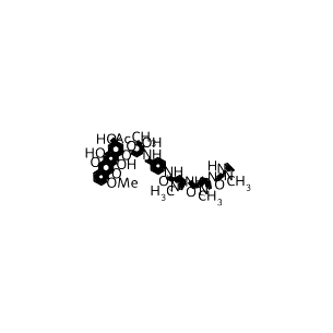 COc1cccc2c1C(=O)c1c(O)c3c(c(O)c1C2=O)C[C@](O)(C(C)=O)C[C@@H]3OC1CC(NCc2ccc(NC(=O)c3cc(NC(=O)c4cc(NC(=O)c5nccn5C)cn4C)cn3C)cc2)C(O)C(C)O1